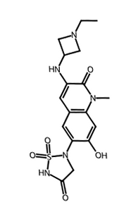 CCN1CC(Nc2cc3cc(N4CC(=O)NS4(=O)=O)c(O)cc3n(C)c2=O)C1